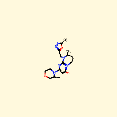 CC1COCCN1c1cc(=O)n2c(n1)N(Cc1nnc(C(F)(F)F)o1)C(C(F)(F)F)CC2